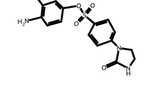 Cc1cc(OS(=O)(=O)c2ccc(N3CCNC3=O)cc2)ccc1N